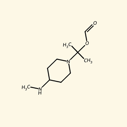 CNC1CCN(C(C)(C)OC=O)CC1